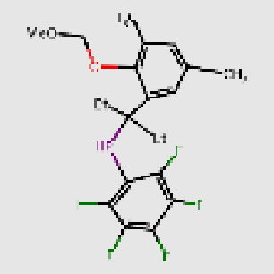 CCC(CC)(Pc1c(F)c(F)c(F)c(F)c1F)c1cc(C)cc(C)c1OCOC